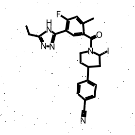 CCc1nnc(-c2cc(C(=O)N3CCC(c4ccc(C#N)cc4)CC3I)c(C)cc2F)[nH]1